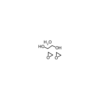 C1CO1.C1CO1.O.OCCO